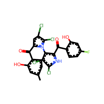 Cc1ccc(C(=O)c2cc(Cl)c(Cl)n2-c2c(C(=O)c3ccc(F)cc3O)[nH]c(Cl)c2Cl)c(O)c1